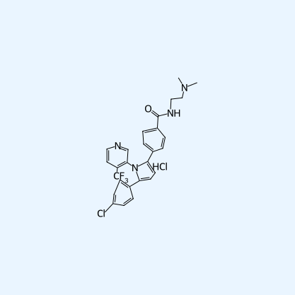 CN(C)CCNC(=O)c1ccc(-c2ccc(-c3ccc(Cl)cc3)n2-c2cnccc2C(F)(F)F)cc1.Cl